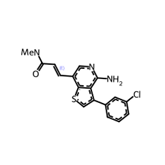 CNC(=O)/C=C/c1cnc(N)c2c(-c3cccc(Cl)c3)csc12